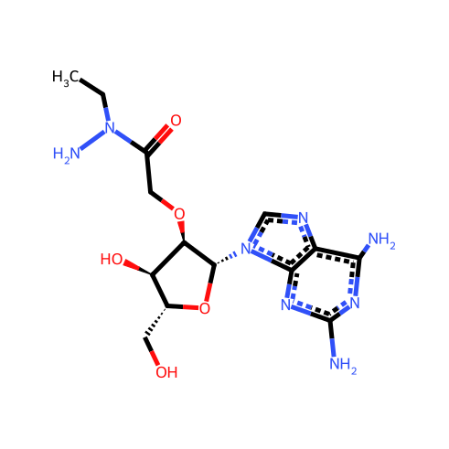 CCN(N)C(=O)CO[C@@H]1[C@H](O)[C@@H](CO)O[C@H]1n1cnc2c(N)nc(N)nc21